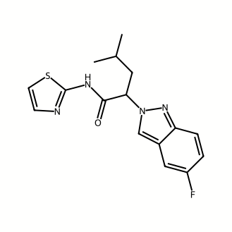 CC(C)CC(C(=O)Nc1nccs1)n1cc2cc(F)ccc2n1